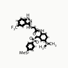 CSc1ccc(S(=O)(=O)CC2CC(N(C)C)CCC2NC(=O)CNc2n[nH]c3ccc(C(F)(F)F)cc23)cc1